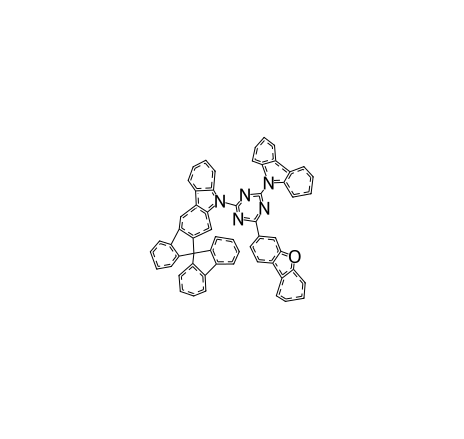 c1ccc2c(c1)-c1ccccc1C21c2ccccc2-c2cc3c4ccccc4n(-c4nc(-c5ccc6c(c5)oc5ccccc56)nc(-n5c6ccccc6c6ccccc65)n4)c3cc21